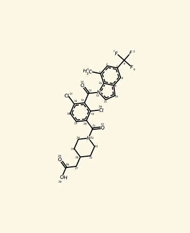 Cc1cc(C(F)(F)F)cc2ccn(C(=O)c3c(Cl)ccc(C(=O)N4CCC(CC(=O)O)CC4)c3Cl)c12